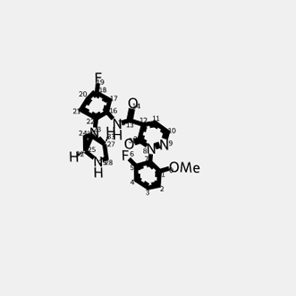 COc1cccc(F)c1-n1nccc(C(=O)Nc2cc(F)ccc2N2C[C@H]3C[C@@H]2CN3)c1=O